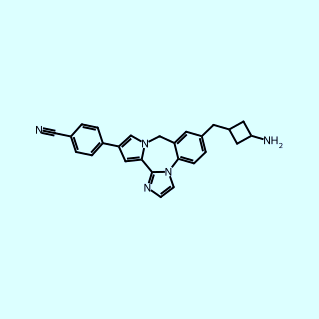 N#Cc1ccc(-c2cc3n(c2)Cc2cc(CC4CC(N)C4)ccc2-n2ccnc2-3)cc1